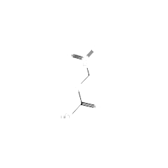 CCCC(=O)OC[SH](=O)=O